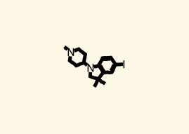 CN1CCC(N2CC(C)(C)c3cc(I)ccc32)CC1